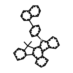 CC1(C)c2ccccc2-c2c1c1c(c3ccccc23)c2ccccc2n1-c1ccc(-c2cccc3ccccc23)cc1